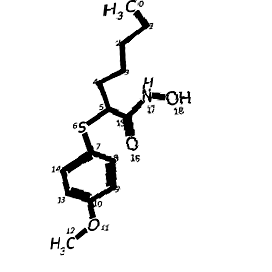 CCCCCC(Sc1ccc(OC)cc1)C(=O)NO